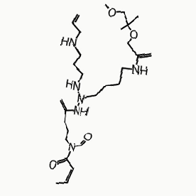 C=CCNCCCNN(CCCCNC(=C)COC(C)(C)COC)NC(=C)CCCN(C=O)C(=O)/C=C\C